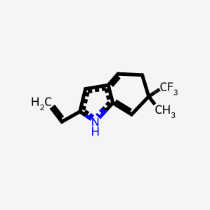 C=Cc1cc2c([nH]1)=CC(C)(C(F)(F)F)CC=2